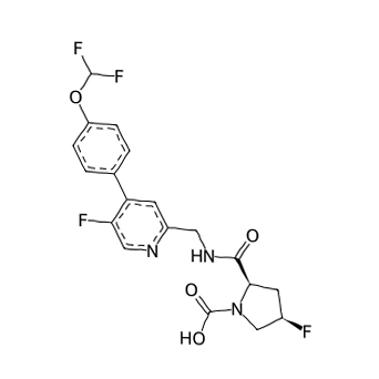 O=C(NCc1cc(-c2ccc(OC(F)F)cc2)c(F)cn1)[C@H]1C[C@@H](F)CN1C(=O)O